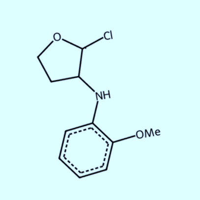 COc1ccccc1NC1CCO[C]1Cl